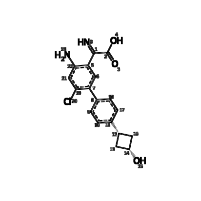 N=C(C(=O)O)c1cc(-c2ccc([C@H]3C[C@@H](O)C3)cc2)c(Cl)cc1N